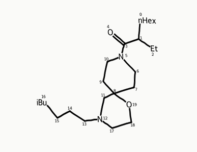 CCCCCCC(CC)C(=O)N1CCC2(CC1)CN(CCCC(C)CC)CCO2